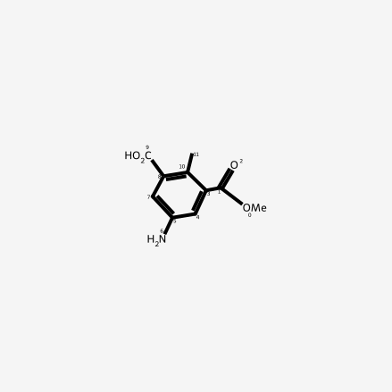 COC(=O)c1cc(N)cc(C(=O)O)c1C